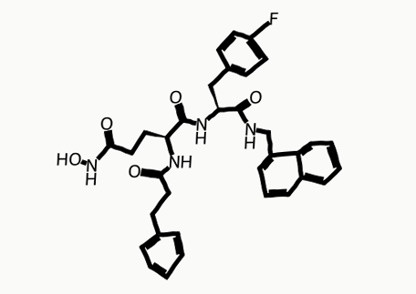 O=C(CC[C@H](NC(=O)CCc1ccccc1)C(=O)N[C@@H](Cc1ccc(F)cc1)C(=O)NCc1cccc2ccccc12)NO